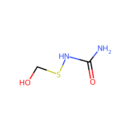 NC(=O)NSCO